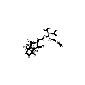 CC/N=C/OP(OCCN1C(=O)[C@@H]2[C@H](C1=O)C1(C)C=CC2(C)O1)N(C(C)C)C(C)C